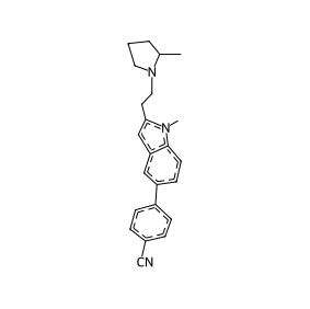 CC1CCCN1CCc1cc2cc(-c3ccc(C#N)cc3)ccc2n1C